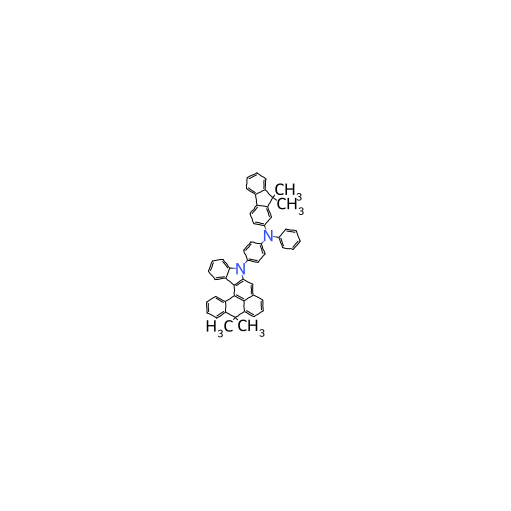 CC1(C)c2ccccc2-c2ccc(N(c3ccccc3)c3ccc(-n4c5ccccc5c5c6c7c(cccc7cc54)C(C)(C)c4ccccc4-6)cc3)cc21